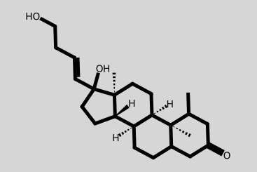 CC1CC(=O)CC2CC[C@@H]3[C@@H](CC[C@@]4(C)[C@H]3CCC4(O)C=CCCO)[C@@]12C